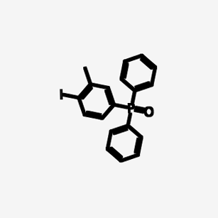 Cc1cc(P(=O)(c2ccccc2)c2ccccc2)ccc1I